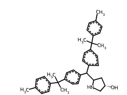 Cc1ccc(C(C)(C)c2ccc(C(c3ccc(C(C)(C)c4ccc(C)cc4)cc3)C3C[C@H](O)CN3)cc2)cc1